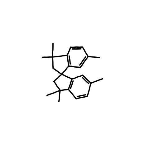 Cc1ccc2c(c1)C1(CC2(C)C)CC(C)(C)c2ccc(C)cc21